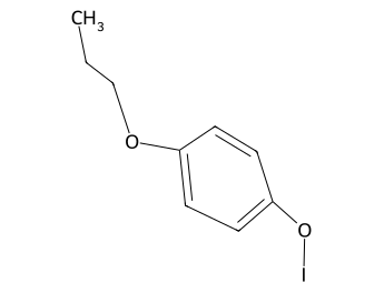 CCCOc1ccc(OI)cc1